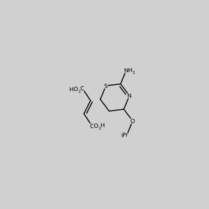 CC(C)OC1CCSC(N)=N1.O=C(O)/C=C/C(=O)O